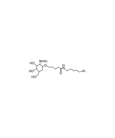 CC(=O)CCCCCNC(=O)CCCCOC1CC(CO)C(O)C(O)C1NC(C)=O